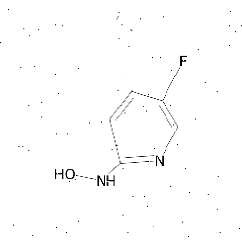 ONc1ccc(F)cn1